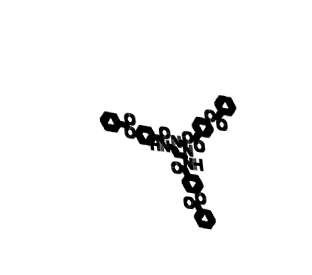 O=C(Nc1cc(NC(=O)c2ccc(OC(=O)c3ccccc3)cc2)nc(OC(=O)c2ccc(OC(=O)c3ccccc3)cc2)n1)c1ccc(OC(=O)c2ccccc2)cc1